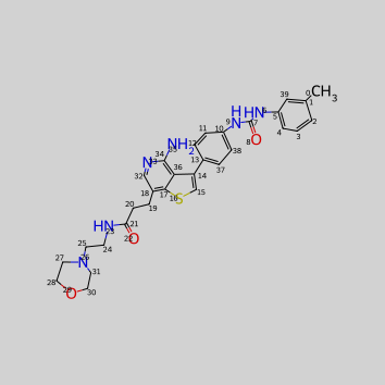 Cc1cccc(NC(=O)Nc2ccc(-c3csc4c(CCC(=O)NCCN5CCOCC5)cnc(N)c34)cc2)c1